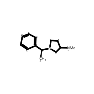 CNC1CCN([C@@H](C)c2ccccc2)C1